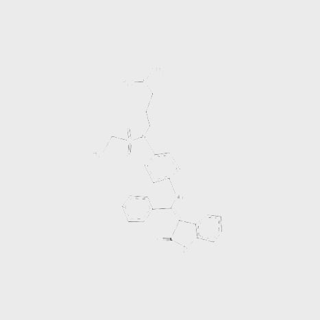 CCS(=O)(=O)N(CCCN(C)C)c1ccc(NC(=C2C(=O)Nc3ccccc32)c2ccccc2)cc1